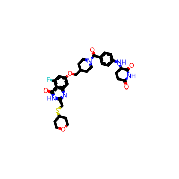 O=C1CCC(Nc2ccc(C(=O)N3CCC(COc4cc(F)c5c(=O)[nH]c(CSC6CCOCC6)nc5c4)CC3)cc2)C(=O)N1